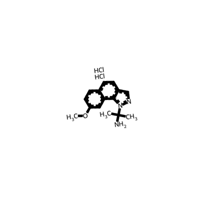 COc1ccc2ccc3cnn(C(C)(C)N)c3c2c1.Cl.Cl